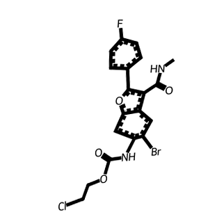 CNC(=O)c1c(-c2ccc(F)cc2)oc2cc(NC(=O)OCCCl)c(Br)cc12